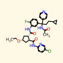 CCO[C@H]1CC(C(=O)Nc2ccc(Cl)cn2)[C@@H](C(=O)Nc2cc(C(CCC3CC3)(NC(C)=O)c3ccncc3)ccc2F)C1